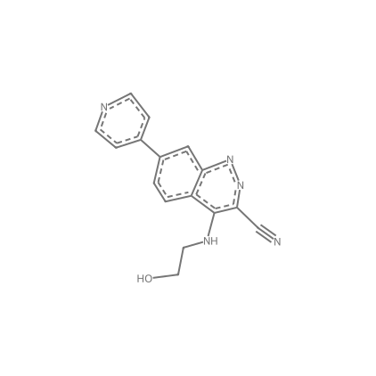 N#Cc1nnc2cc(-c3ccncc3)ccc2c1NCCO